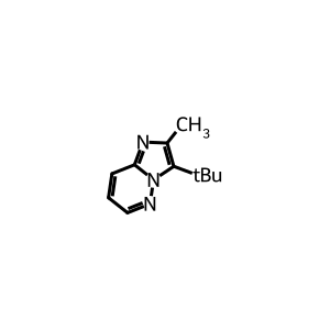 Cc1nc2cccnn2c1C(C)(C)C